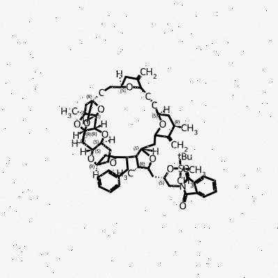 C=C1C[C@@H]2CC[C@@]34C[C@]5(C)O[C@H]6[C@@H](O3)[C@H]3O[C@H](CC[C@@H]3O[C@H]6[C@H]5O4)CC(=O)C(Cc3ccccc3)C3[C@@H](C)C(C[C@@H](CN4C(=O)c5ccccc5C4=O)O[Si](C)(C)C(C)(C)C)O[C@H]3CC3O[C@@H](CCC1O2)C[C@@H](C)C3=C